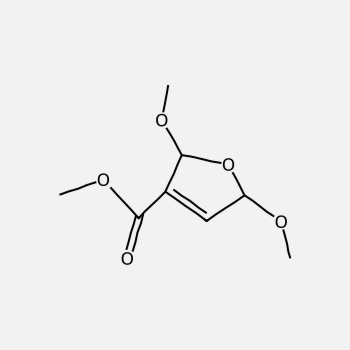 COC(=O)C1=CC(OC)OC1OC